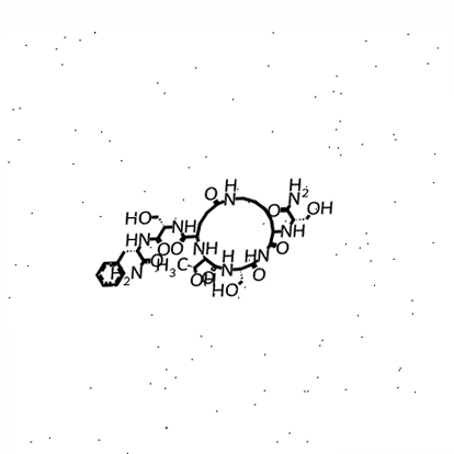 C[C@@H](O)[C@@H]1NC(C(=O)N[C@@H](CO)C(=O)N[C@@H](Cc2ccccc2)C(N)=O)CCC(=O)NCCCCC(N[C@@H](CO)C(N)=O)C(=O)NC(=O)[C@H](CO)NC1=O